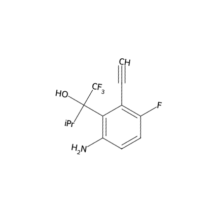 C#Cc1c(F)ccc(N)c1C(O)(C(C)C)C(F)(F)F